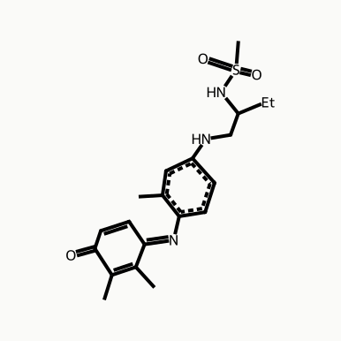 CCC(CNc1ccc(N=C2C=CC(=O)C(C)=C2C)c(C)c1)NS(C)(=O)=O